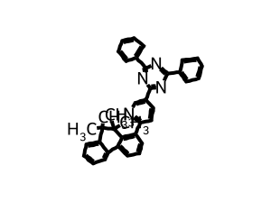 CC1(C)c2ccccc2-c2cccc(-c3ccc(-c4nc(-c5ccccc5)nc(-c5ccccc5)n4)cn3)c2C1(C)C